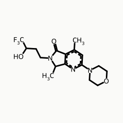 Cc1cc(N2CCOCC2)nc2c1C(=O)N(CCC(O)C(F)(F)F)C2C